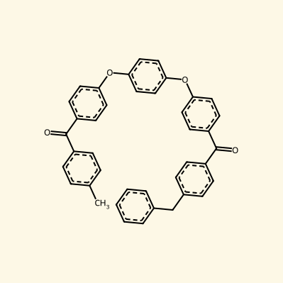 Cc1ccc(C(=O)c2ccc(Oc3ccc(Oc4ccc(C(=O)c5ccc(Cc6ccccc6)cc5)cc4)cc3)cc2)cc1